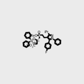 COP(=O)(CCc1c(C(C)C)nn(-c2ccccc2)c1-c1ccc(F)cc1)C[C@H](CC(=O)O)O[Si](c1ccccc1)(c1ccccc1)C(C)(C)C